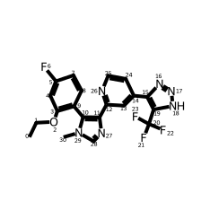 CCOc1cc(F)ccc1-c1c(-c2cc(-c3nn[nH]c3C(F)(F)F)ccn2)ncn1C